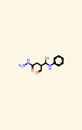 NNC(=O)CC(C=O)C(S)Nc1ccccc1